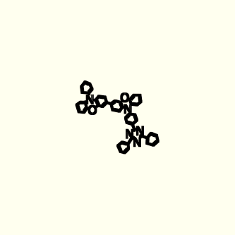 c1ccc(-c2nc(-c3ccccc3)nc(-c3ccc(N4c5ccccc5Oc5cc(-c6ccc7c(c6)Oc6ccccc6N7c6ccccc6)ccc54)cc3)n2)cc1